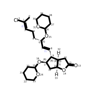 C/C(Cl)=C\CC[C@@H](/C=C/[C@@H]1[C@H]2CC(=O)O[C@H]2C[C@H]1OC1CCCCO1)OC1CCCCO1